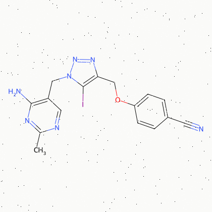 Cc1ncc(Cn2nnc(COc3ccc(C#N)cc3)c2I)c(N)n1